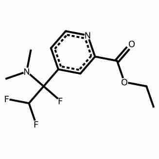 CCOC(=O)c1cc(C(F)(C(F)F)N(C)C)ccn1